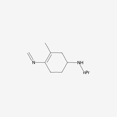 C=NC1=C(C)CC(NCCC)CC1